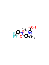 CON(C(=O)c1ccc(C)c(-n2cc(C(=O)O)cn2)c1)c1cccc(C(F)(F)F)c1